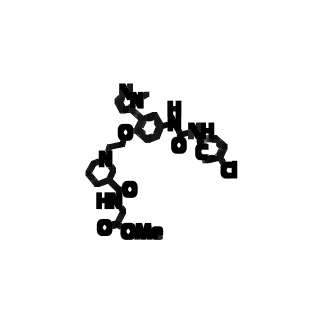 COC(=O)CNC(=O)C1CCCN(CCOc2ccc(NC(=O)Nc3ccc(Cl)cc3)cc2-c2ccnn2C)C1